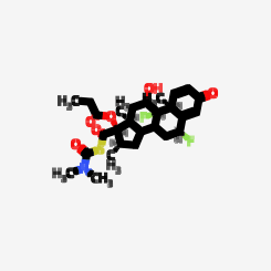 CCC(=O)O[C@]1(C(=O)SC(=O)N(C)C)[C@@H](C)CC2C3C[C@H](F)C4=CC(=O)C=C[C@]4(C)[C@@]3(F)[C@@H](O)C[C@@]21C